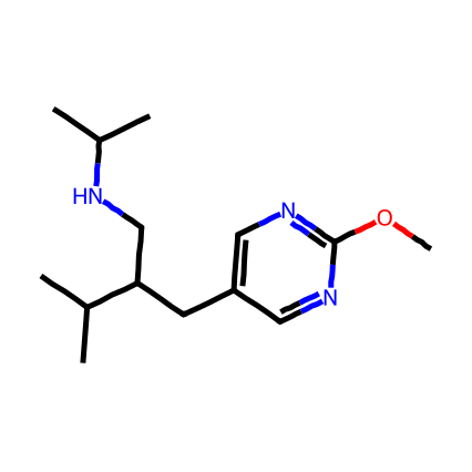 COc1ncc(CC(CNC(C)C)C(C)C)cn1